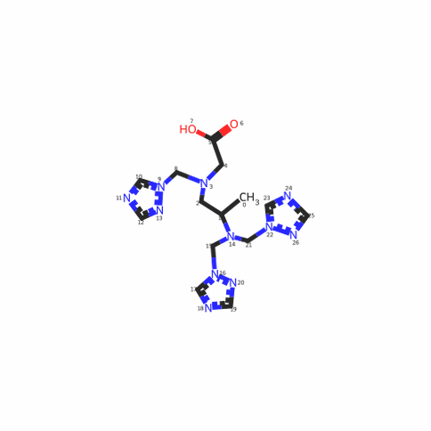 CC(CN(CC(=O)O)Cn1cncn1)N(Cn1cncn1)Cn1cncn1